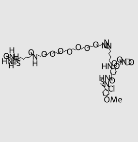 COc1ccc(-c2csc(NC(=O)c3ccc(OCC(=O)N4CCOCC4)c(NC(=O)CCCCc4cn(CCOCCOCCOCCOCCOCCOCCOCCNC(=O)CCCC[C@@H]5SC[C@H]6NC(=O)N[C@@H]56)nn4)c3)n2)c(Cl)c1